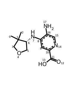 CC1(C)COC[C@H]1Nc1cc(C(=O)O)ncc1N